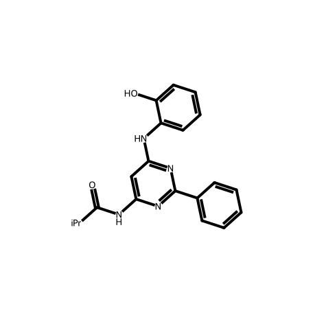 CC(C)C(=O)Nc1cc(Nc2ccccc2O)nc(-c2ccccc2)n1